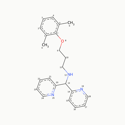 Cc1cccc(C)c1OCCCNC(c1ccccn1)c1ccccn1